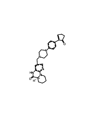 O=C1CCC=C1c1ccc(N2CCN(Cc3cnc4c(c3)NC(=O)[C@@H]3CCCCN43)CC2)cc1